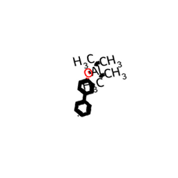 C[CH](C)[Al]([O]c1ccc(-c2cc[c]cc2)cc1)[CH](C)C